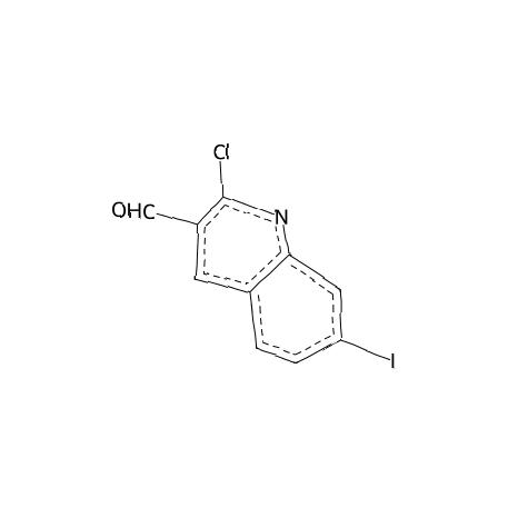 O=Cc1cc2ccc(I)cc2nc1Cl